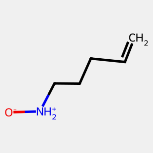 C=CCCC[NH2+][O-]